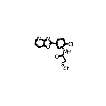 CCSCC(=O)Nc1cc(-c2nc3ncccc3o2)ccc1Cl